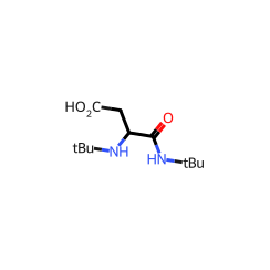 CC(C)(C)NC(=O)C(CC(=O)O)NC(C)(C)C